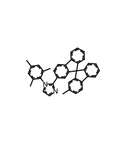 Cc1cc(C)c(-n2ccnc2-c2ccc3c(c2)C2(c4ccccc4-c4ccc(C)cc42)c2ccccc2-3)c(C)c1